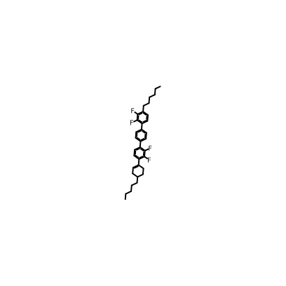 CCCCCCc1ccc(-c2ccc(-c3ccc(C4=CCC(CCCCC)CC4)c(F)c3F)cc2)c(F)c1F